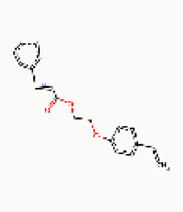 C=Cc1ccc(OCCOC(=O)/C=C/c2ccccc2)cc1